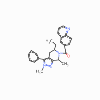 CCC1Cc2c(nn(C)c2-c2ccccc2)C(C)N1C(=O)c1ccc2ncccc2c1